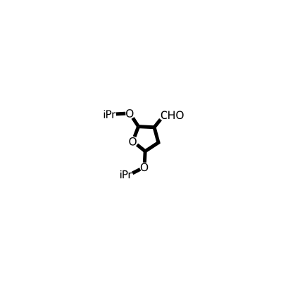 CC(C)OC1CC(C=O)C(OC(C)C)O1